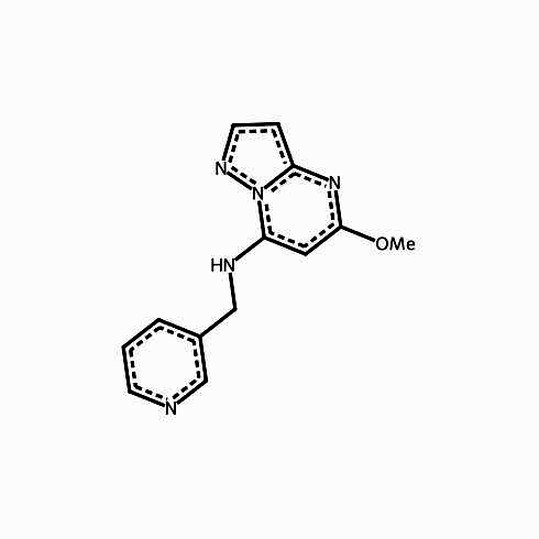 COc1cc(NCc2cccnc2)n2nccc2n1